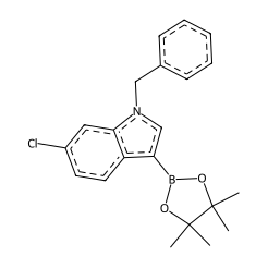 CC1(C)OB(c2cn(Cc3ccccc3)c3cc(Cl)ccc23)OC1(C)C